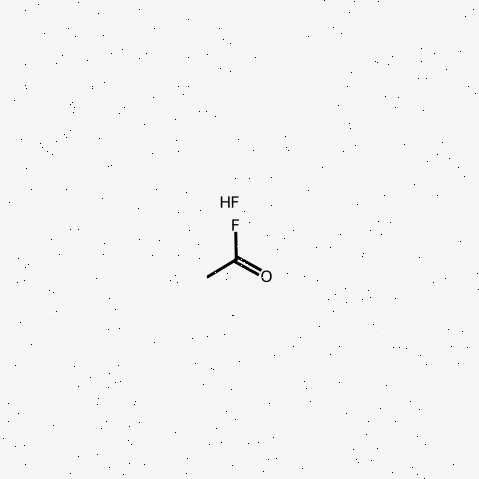 CC(=O)F.F